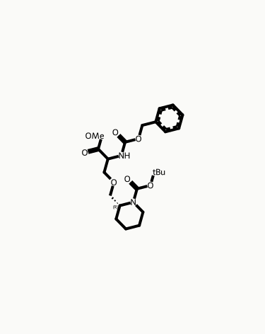 COC(=O)C(COC[C@H]1CCCCN1C(=O)OC(C)(C)C)NC(=O)OCc1ccccc1